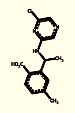 Cc1ccc(C(=O)O)c(C(C)Nc2cncc(Cl)n2)c1